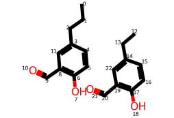 CCCc1ccc(O)c(C=O)c1.CCc1ccc(O)c(C=O)c1